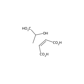 CC(O)C(=O)O.O=C(O)/C=C\C(=O)O